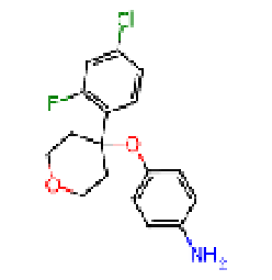 Nc1ccc(OC2(c3ccc(Cl)cc3F)CCOCC2)cc1